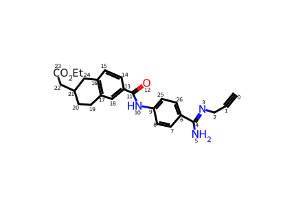 C#CCN=C(N)c1ccc(NC(=O)c2ccc3c(c2)CCC(CC(=O)OCC)C3)cc1